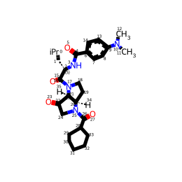 CC(C)C[C@H](NC(=O)c1ccc(N(C)C)cc1)C(=O)N1CC[C@@H]2[C@H]1C(=O)CN2C(=O)C1CCCCC1